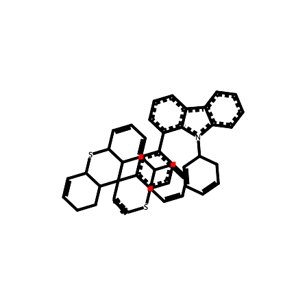 C1=CCC(C2=CC=CC3SC4C=CCCC4C4(c5ccccc5Sc5ccc(-c6cccc7c8ccccc8n(C8C=CC=CC8)c67)cc54)C23)C=C1